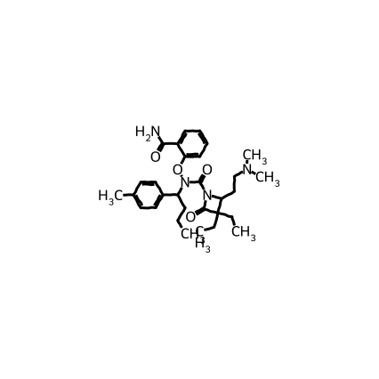 CCCC(c1ccc(C)cc1)N(Oc1ccccc1C(N)=O)C(=O)N1C(=O)C(CC)(CC)C1CCN(C)C